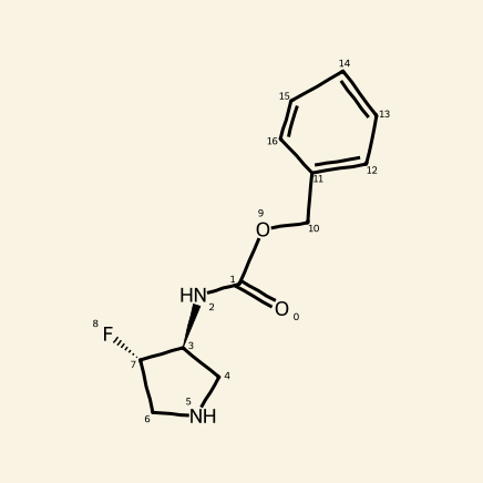 O=C(N[C@H]1CNC[C@@H]1F)OCc1ccccc1